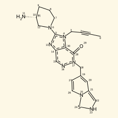 CC#CCn1c(N2CCC[C@@H](N)C2)nc2cnn(CC3=CC4=CNSN4C=C3)c(=O)c21